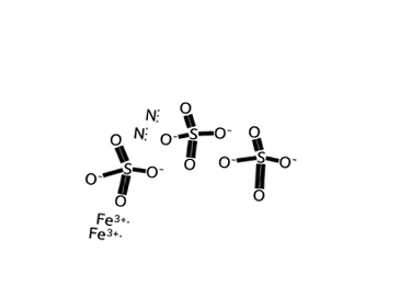 O=S(=O)([O-])[O-].O=S(=O)([O-])[O-].O=S(=O)([O-])[O-].[Fe+3].[Fe+3].[N].[N]